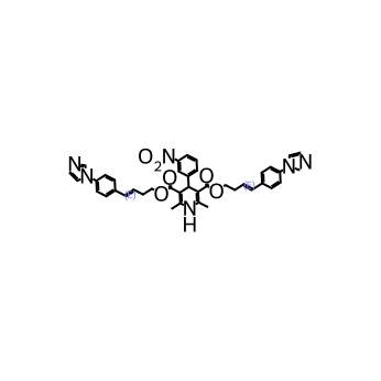 CC1=C(C(=O)OCC/C=C/c2ccc(-n3ccnc3)cc2)C(c2cccc([N+](=O)[O-])c2)C(C(=O)OCC/C=C/c2ccc(-n3ccnc3)cc2)=C(C)N1